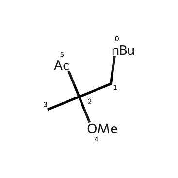 CCCCCC(C)(OC)C(C)=O